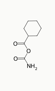 NC(=O)OC(=O)C1CCCCC1